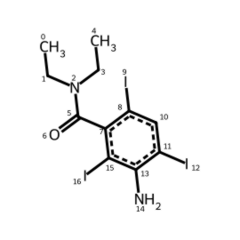 CCN(CC)C(=O)c1c(I)cc(I)c(N)c1I